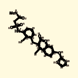 CNC(=O)CS(=O)(=O)Nc1cccc(Cc2c(C)c3ccc(Oc4nccs4)cc3oc2=O)c1F